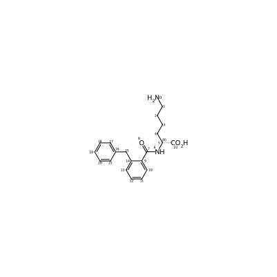 NCCCC[C@@H](NC(=O)c1ccccc1Cc1ccccc1)C(=O)O